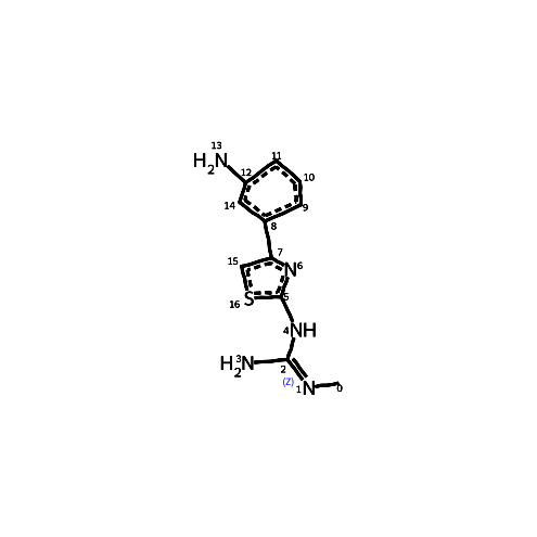 C/N=C(/N)Nc1nc(-c2cccc(N)c2)cs1